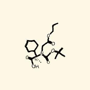 CCCOC(=O)CN(C(=O)OC(C)(C)C)[C@@](C)(C(=O)O)C1CCCCC1